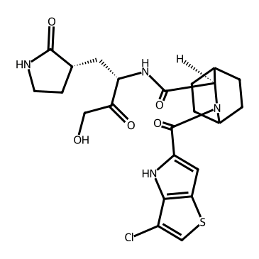 O=C1NCC[C@H]1C[C@H](NC(=O)[C@H]1C2CCC(CC2)N1C(=O)c1cc2scc(Cl)c2[nH]1)C(=O)CO